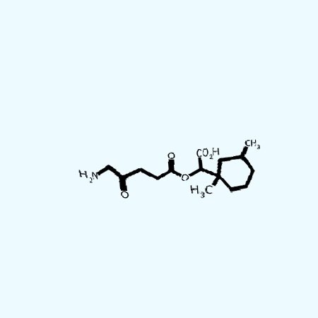 CC1CCCC(C)(C(OC(=O)CCC(=O)CN)C(=O)O)C1